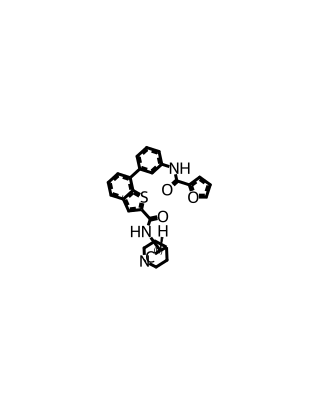 O=C(Nc1cccc(-c2cccc3cc(C(=O)N[C@H]4CN5CCC4CC5)sc23)c1)c1ccco1